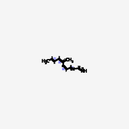 C/C=C/C=C(C)\C=C/C=N/C=N